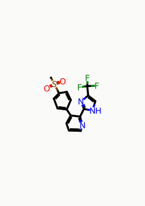 CS(=O)(=O)c1ccc(-c2cccnc2-c2nc(C(F)(F)F)c[nH]2)cc1